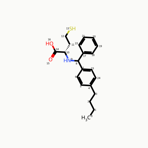 CCCCc1ccc(C(N[C@@H](CCS)C(=O)O)c2ccccc2)cc1